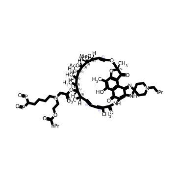 CCCC(=O)OCCN(CCCCC(P=O)P=O)CC(=O)O[C@@H]1[C@@H](C)[C@@H](O)[C@@H](C)[C@H](OC(C)=O)[C@H](C)[C@@H](OC)/C=C/O[C@@]2(C)Oc3c(C)c(O)c4c(c3C2=O)C2=NC3(CCN(CC(C)C)CC3)NC2=C(NC(=O)/C(C)=C\C=C\[C@@H]1C)C4=O